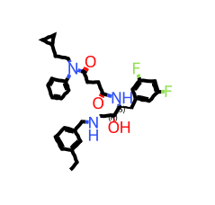 CCc1cccc(CNC[C@@H](O)[C@H](Cc2cc(F)cc(F)c2)NC(=O)CCC(=O)N(CCC2CC2)c2ccccc2)c1